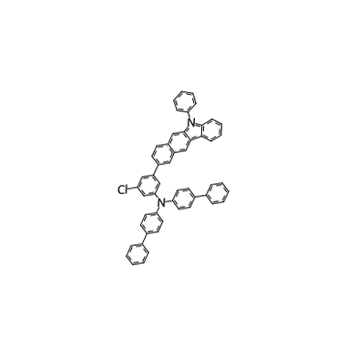 Clc1cc(-c2ccc3cc4c(cc3c2)c2ccccc2n4-c2ccccc2)cc(N(c2ccc(-c3ccccc3)cc2)c2ccc(-c3ccccc3)cc2)c1